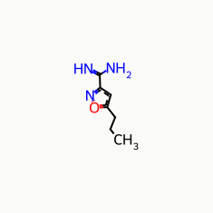 CCCc1cc(C(=N)N)no1